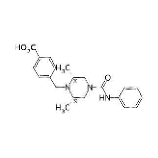 C[C@@H]1CN(C(=O)Nc2ccccc2)C[C@H](C)N1Cc1ccc(C(=O)O)cc1